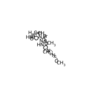 COCC1CN(C2CCN(c3cc(OC)c(Nc4ncc(Br)c(Nc5ccc6c(c5P(C)C)ONO6)n4)cc3C)CC2)C1